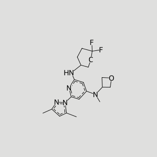 Cc1cc(C)n(-c2cc(N(C)C3COC3)cc(NC3CCC(F)(F)CC3)n2)n1